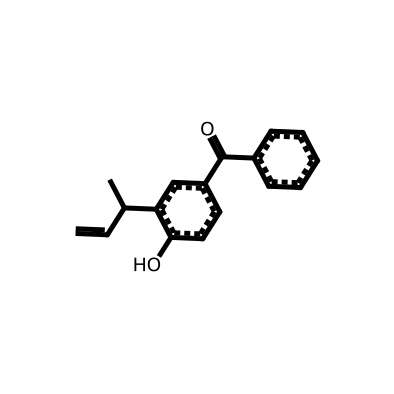 C=CC(C)c1cc(C(=O)c2ccccc2)ccc1O